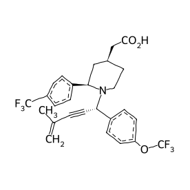 C=C(C)C#C[C@@H](c1ccc(OC(F)(F)F)cc1)N1CC[C@H](CC(=O)O)C[C@@H]1c1ccc(C(F)(F)F)cc1